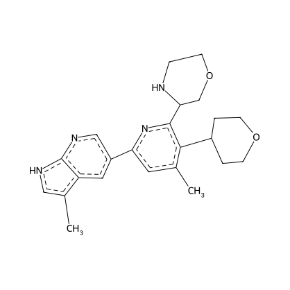 Cc1cc(-c2cnc3[nH]cc(C)c3c2)nc(C2COCCN2)c1C1CCOCC1